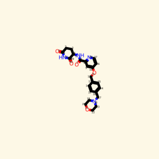 O=C1CCC(NC(=O)c2cc(OCc3ccc(CN4CCOCC4)cc3)ccn2)C(=O)N1